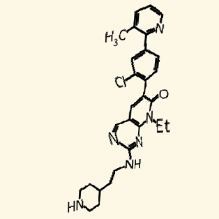 CCn1c(=O)c(-c2ccc(-c3ncccc3C)cc2Cl)cc2cnc(NCCC3CCNCC3)nc21